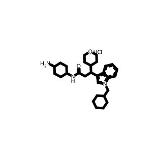 Cl.NC1CCC(NC(=O)CC(c2cn(CC3CCCCC3)c3ccccc23)C2CCOCC2)CC1